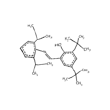 CC(C)c1cccc(C(C)C)c1/N=C/c1cc(C(C)(C)C)cc(C(C)(C)C)c1O